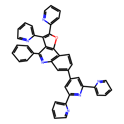 c1ccc(-c2nc3cc(-c4cc(-c5ccccn5)nc(-c5ccccn5)c4)ccc3c3oc(-c4ccccn4)c(-c4ccccn4)c23)cc1